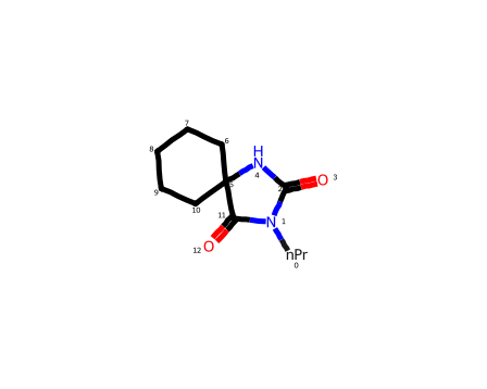 CCCN1C(=O)NC2(CCCCC2)C1=O